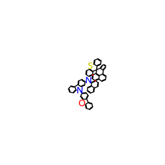 c1ccc2c(c1)Sc1ccc(N(c3ccc4c5ccccc5n(-c5ccc6c(c5)oc5ccccc56)c4c3)c3cccc4ccccc34)cc1C21c2ccccc2-c2cccc3cccc1c23